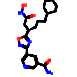 NC(=O)c1cncc(-c2noc([C@H](CCCC3CCCCC3)CC(=O)NO)n2)c1